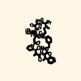 CCC(C)C(C(CC(=O)N1CCC[C@H]1C(OC)C(C)C(=O)NC(C(=O)OCc1ccccc1)C(C)c1ccccc1)OC)N(C)C(=O)C(NC(=O)C(C(C)C)N(C)CCCC(=O)O)C(C)C